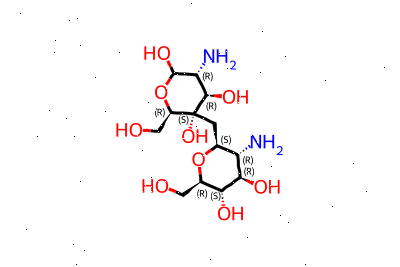 N[C@@H]1[C@@H](O)[C@H](O)[C@@H](CO)O[C@H]1C[C@]1(O)[C@H](O)[C@@H](N)C(O)O[C@@H]1CO